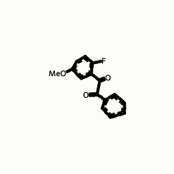 COc1ccc(F)c(C(=O)C(=O)c2ccccc2)c1